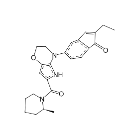 CCC1=Cc2cc(N3CCOc4cc(C(=O)N5CCCC[C@@H]5C)[nH]c43)ccc2C1=O